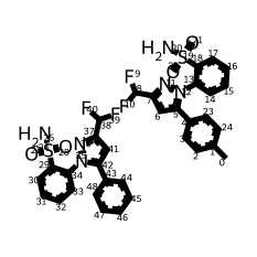 Cc1ccc(-c2cc(C(F)F)nn2-c2ccccc2S(N)(=O)=O)cc1.NS(=O)(=O)c1ccccc1-n1nc(C(F)F)cc1-c1ccccc1